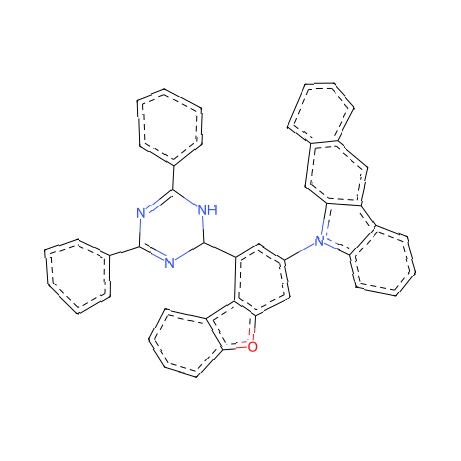 c1ccc(C2=NC(c3cc(-n4c5ccccc5c5cc6ccccc6cc54)cc4oc5ccccc5c34)NC(c3ccccc3)=N2)cc1